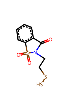 O=C1c2ccccc2S(=O)(=O)N1CCSS